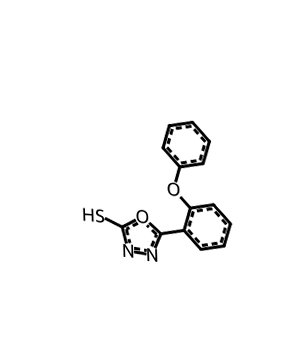 Sc1nnc(-c2ccccc2Oc2ccccc2)o1